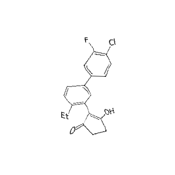 CCc1ccc(-c2ccc(Cl)c(F)c2)cc1C1=C(O)CCC1=O